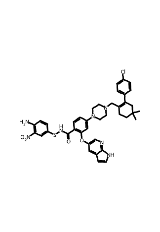 CC1(C)CCC(CN2CCN(c3ccc(C(=O)NSc4ccc(N)c([N+](=O)[O-])c4)c(Oc4cnc5[nH]ccc5c4)c3)CC2)=C(c2ccc(Cl)cc2)C1